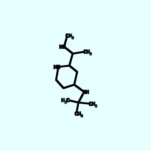 CNC(C)C1CC(NC(C)(C)C)CCN1